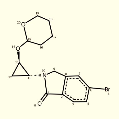 O=C1c2ccc(Br)cc2CN1[C@@H]1C[C@H]1OC1CCCCO1